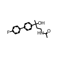 CC(=O)NCCC(C)(O)c1ccc(-c2ccc(F)cc2)cc1